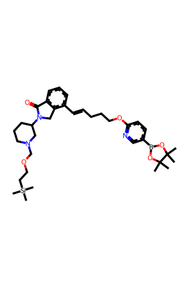 CC1(C)OB(c2ccc(OCCC/C=C/c3cccc4c3CN(C3CCCN(COCC[Si](C)(C)C)C3)C4=O)nc2)OC1(C)C